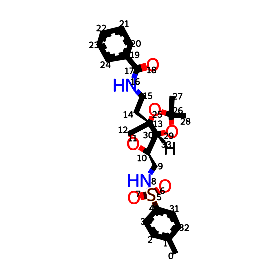 Cc1ccc(S(=O)(=O)NC[C@H]2OC[C@]3(CCNC(=O)c4ccccc4)OC(C)(C)O[C@H]23)cc1